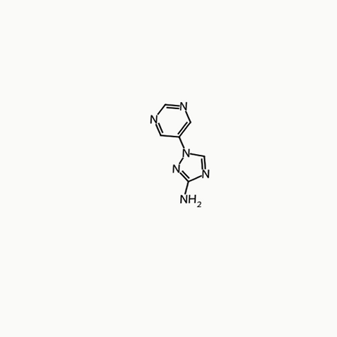 Nc1ncn(-c2cncnc2)n1